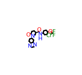 O=C(Nc1ccc(OC(F)(F)Cl)cc1)c1ccc(=O)n(-c2ccc3nccnc3c2)c1